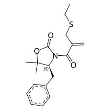 C=C(CSCC)C(=O)N1C(=O)OC(C)(C)[C@@H]1Cc1ccccc1